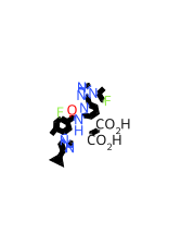 Cc1cc(F)c(C(=O)Nc2cccc(-c3nncn3C(C)CF)n2)cc1-n1cnc(C2CC2)c1.O=C(O)CCC(=O)O